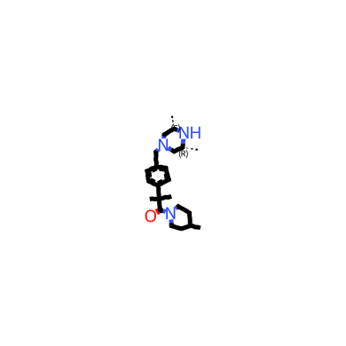 CC1CCN(C(=O)C(C)(C)c2ccc(CN3C[C@@H](C)N[C@@H](C)C3)cc2)CC1